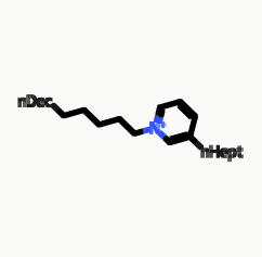 CCCCCCCCCCCCCCC[n+]1cccc(CCCCCCC)c1